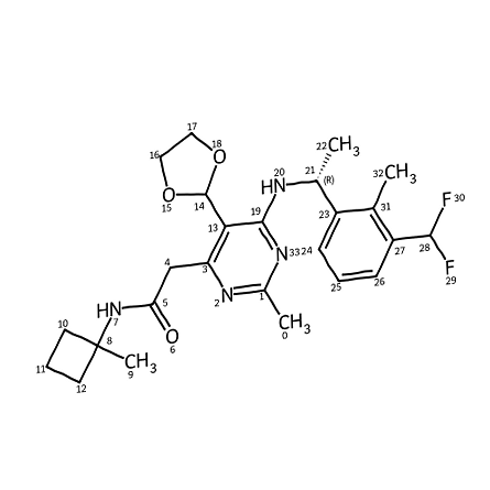 Cc1nc(CC(=O)NC2(C)CCC2)c(C2OCCO2)c(N[C@H](C)c2cccc(C(F)F)c2C)n1